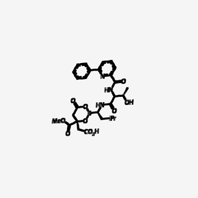 COC(=O)[C@]1(CC(=O)O)CC(=O)OB([C@H](CC(C)C)NC(=O)C(NC(=O)c2cccc(-c3ccccc3)n2)[C@@H](C)O)O1